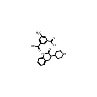 Cc1cc(C(=O)O)cc(C(=O)O)c1.O=C1Nc2ccccc2CC1C1CCNCC1